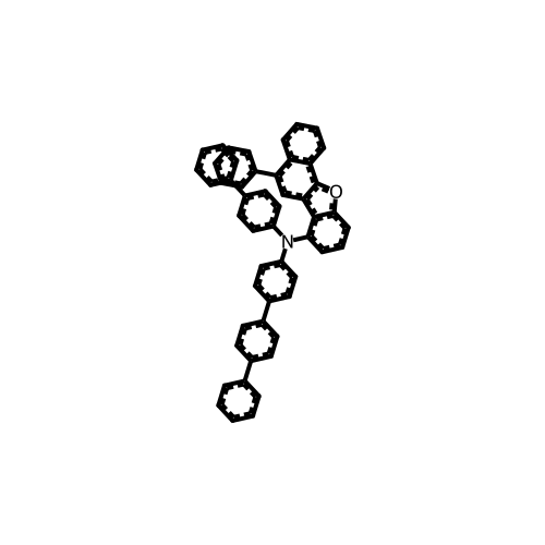 c1ccc(-c2ccc(-c3ccc(N(c4ccc(-c5ccccc5)cc4)c4cccc5oc6c7ccccc7c(-c7ccccc7)cc6c45)cc3)cc2)cc1